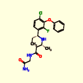 CC[C@@H](N[C@H](C)CC(=O)NCC(N)=O)c1ccc(Cl)c(Oc2ccccc2)c1F